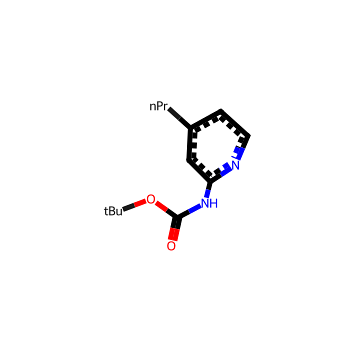 CCCc1ccnc(NC(=O)OC(C)(C)C)c1